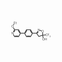 CCOc1cc(-c2ccc(C3=NOC(O)(C(F)(F)F)C3)cc2)ccn1